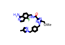 COCc1nc(C(=O)NCc2ccc3c(N)nccc3c2F)nn1Cc1ccc(Cn2cc(C)cn2)cc1